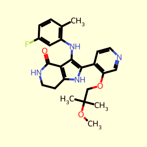 COC(C)(C)COc1cnccc1-c1[nH]c2c(c1Nc1cc(F)ccc1C)C(=O)NCC2